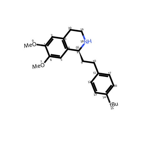 COc1cc2c(cc1OC)[C@H](CCc1ccc(C(C)(C)C)cc1)NCC2